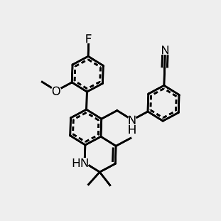 COc1cc(F)ccc1-c1ccc2c(c1CNc1cccc(C#N)c1)C(C)=CC(C)(C)N2